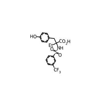 CCC(Cc1ccc(O)cc1)(NS(=O)(=O)c1cccc(C(F)(F)F)c1)C(=O)O